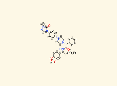 CCOC(=O)CC(NC(=O)C(c1ccccc1)N1CCN(c2ccc(-n3cnn(C(C)C)c3=O)cc2)CC1)c1ccc2c(c1)OCO2